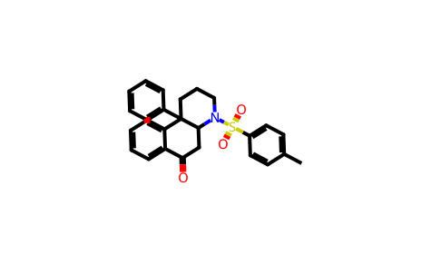 Cc1ccc(S(=O)(=O)N2CCCC3(c4ccccc4)c4ccccc4C(=O)CC23)cc1